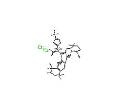 CC1=c2cc3c(cc2C(C)(C)CC1)=[C]([Zr+2]([C]1=CC(C(C)(C)C)=CC1)=[C](C)C)c1cc2c(cc1-3)C(C)(C)CC(C)C2(C)C.[Cl-].[Cl-]